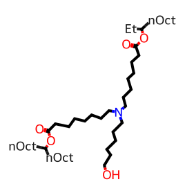 CCCCCCCCC(CC)OC(=O)CCCCCCCN(CCCCCCO)CCCCCCCC(=O)OC(CCCCCCCC)CCCCCCCC